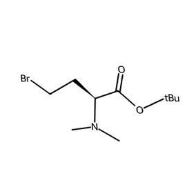 CN(C)[C@@H](CCBr)C(=O)OC(C)(C)C